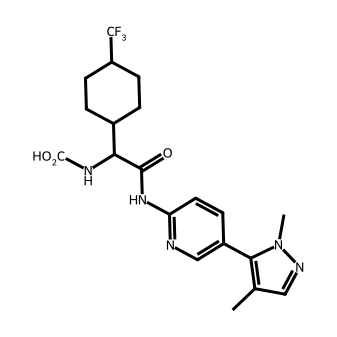 Cc1cnn(C)c1-c1ccc(NC(=O)C(NC(=O)O)C2CCC(C(F)(F)F)CC2)nc1